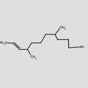 CC(C)CCCC(C)CCCC(C)/C=C/S(=O)(=O)O